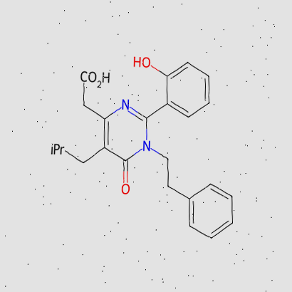 CC(C)Cc1c(CC(=O)O)nc(-c2ccccc2O)n(CCc2ccccc2)c1=O